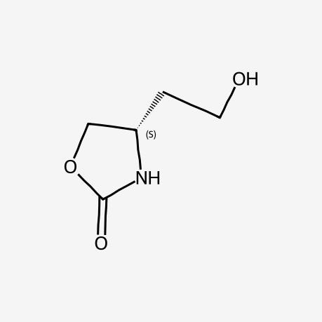 O=C1N[C@@H](CCO)CO1